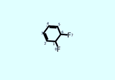 F[C]1C=C[C]=CC1F